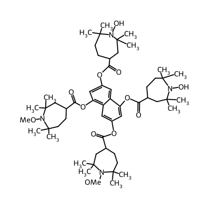 CON1C(C)(C)CCC(C(=O)Oc2cc(OC(=O)C3CCC(C)(C)N(O)C(C)(C)C3)c3cc(OC(=O)C4CCC(C)(C)N(O)C(C)(C)C4)cc(OC(=O)C4CCC(C)(C)N(OC)C(C)(C)C4)c3c2)CC1(C)C